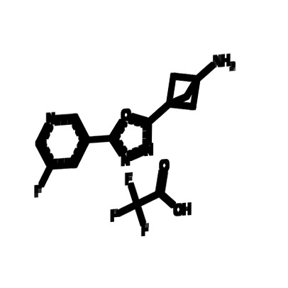 NC12CC(c3nnc(-c4cncc(F)c4)o3)(C1)C2.O=C(O)C(F)(F)F